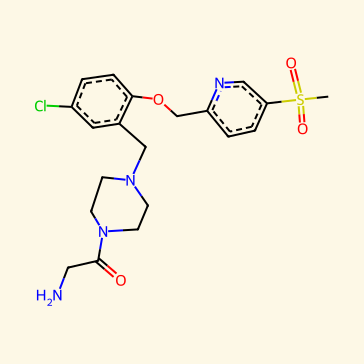 CS(=O)(=O)c1ccc(COc2ccc(Cl)cc2CN2CCN(C(=O)CN)CC2)nc1